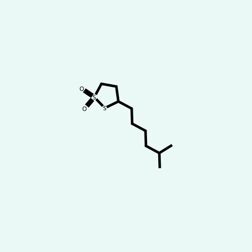 CC(C)CCCCC1CCS(=O)(=O)S1